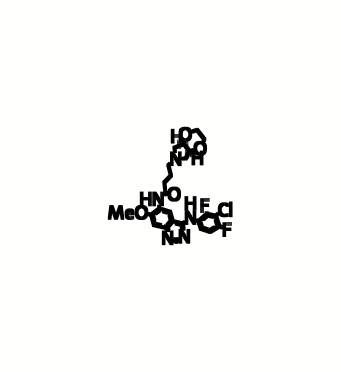 COc1cc2ncnc(Nc3ccc(F)c(Cl)c3F)c2cc1NC(=O)CCCN1C[C@@H]2OCCO[C@@H]2C1